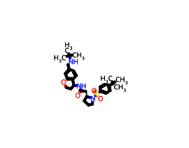 CC(C)(C)NCc1ccc2c(c1)OCCC2NC(=O)C[C@@H]1CCCN1S(=O)(=O)c1ccc(C(C)(C)C)cc1